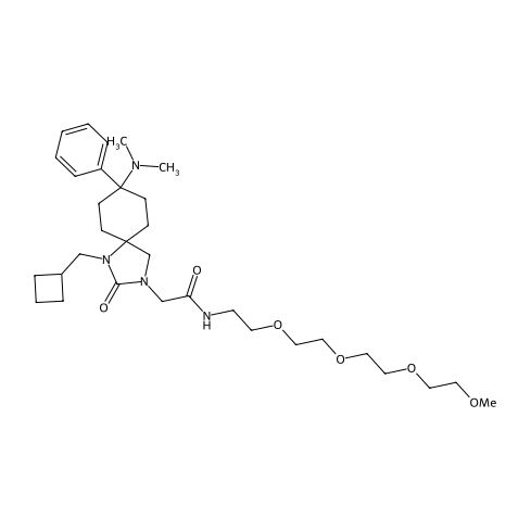 COCCOCCOCCOCCNC(=O)CN1CC2(CCC(c3ccccc3)(N(C)C)CC2)N(CC2CCC2)C1=O